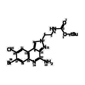 CC(C)(C)OC(=O)NCCn1cc2c(n1)c(N)nc1cc(Br)c(Cl)cc12